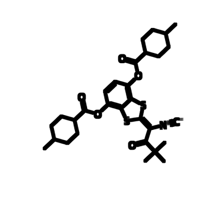 [C-]#[N+]C(C(=O)C(C)(C)C)=C1Sc2c(OC(=O)C3CCC(C)CC3)ccc(OC(=O)C3CCC(C)CC3)c2S1